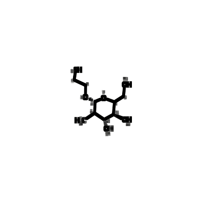 CC1[C@H](OCCS)OC(CO)[C@@H](O)[C@@H]1O